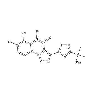 COC(C)(C)c1noc(-c2ncn3c2c(=O)n(C(C)C)c2c(C#N)c(Cl)ccc23)n1